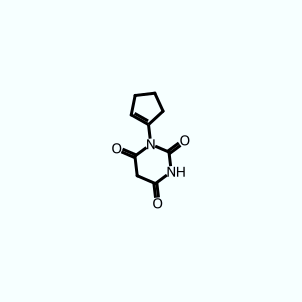 O=C1CC(=O)N(C2=CCCC2)C(=O)N1